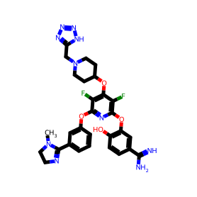 CN1CCN=C1c1cccc(Oc2nc(Oc3cc(C(=N)N)ccc3O)c(F)c(OC3CCN(Cc4nnn[nH]4)CC3)c2F)c1